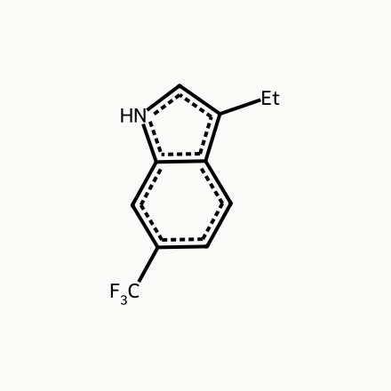 CCc1c[nH]c2cc(C(F)(F)F)ccc12